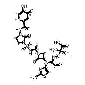 CC(C)(ON=C(C=O)N(c1csc(N)n1)C1CN(C(=O)NS(=O)(=O)N2CCN(NC(=O)c3cc(=O)c(O)c[nH]3)C2=O)C1=O)C(=O)O